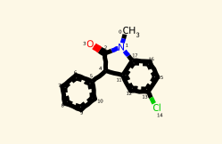 CN1C(=O)C(c2ccccc2)c2cc(Cl)ccc21